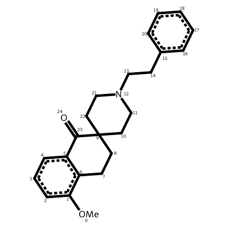 COc1cccc2c1CCC1(CCN(CCc3ccccc3)CC1)C2=O